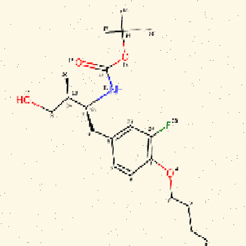 CCCCOc1ccc(C[C@H](NC(=O)OC(C)(C)C)[C@H](C)CO)cc1F